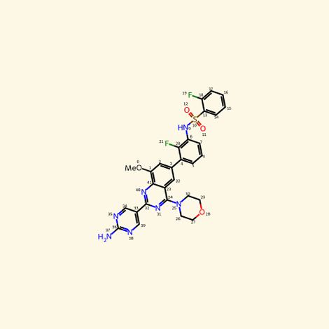 COc1cc(-c2cccc(NS(=O)(=O)c3ccccc3F)c2F)cc2c(N3CCOCC3)nc(-c3cnc(N)nc3)nc12